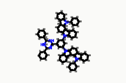 c1ccc(C2N=C(c3cc(-n4c5ccccc5c5c4ccc4c6ccccc6n(-c6ccccc6)c45)cc(-n4c5ccccc5c5c4ccc4c6ccccc6n(-c6ccccc6)c45)c3)NC(c3ccccc3)N2)cc1